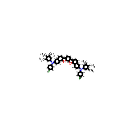 Cc1cc(N(c2ccc(F)cc2)c2ccc3c(ccc4c5ccc6c7ccc8cc(N(c9ccc(F)cc9)c9cc(C)c(C)c(C)c9)ccc8c7oc6c5oc34)c2)cc(C)c1C